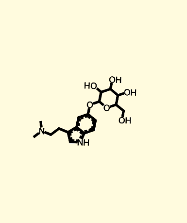 CN(C)CCc1c[nH]c2ccc(OC3OC(CO)C(O)C(O)C3O)cc12